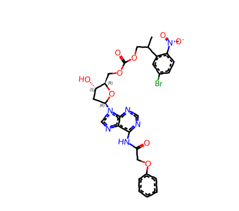 CC(COC(=O)OC[C@H]1O[C@@H](n2cnc3c(NC(=O)COc4ccccc4)ncnc32)C[C@@H]1O)c1cc(Br)ccc1[N+](=O)[O-]